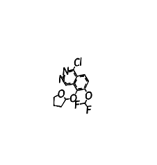 FC(F)Oc1ccc2c(Cl)nncc2c1OC1CCCO1